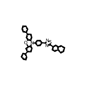 c1ccc(-c2ccc3c(c2)Oc2cc(-c4ccccc4)ccc2N3c2ccc(-c3nsc(-c4ccc5ccccc5c4)n3)cc2)cc1